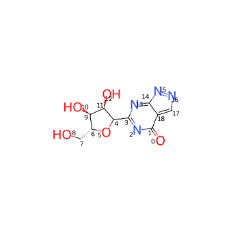 O=C1N=C(C2O[C@H](CO)[C@@H](O)[C@H]2O)N=C2N=NC=C12